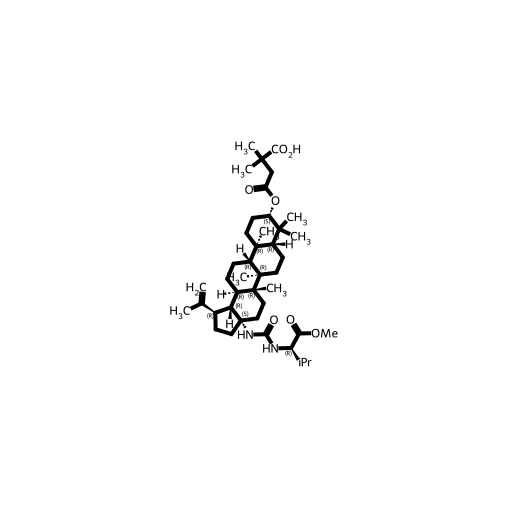 C=C(C)[C@@H]1CC[C@]2(NC(=O)N[C@@H](C(=O)OC)C(C)C)CC[C@]3(C)[C@H](CC[C@@H]4[C@@]5(C)CC[C@H](OC(=O)CC(C)(C)C(=O)O)C(C)(C)[C@@H]5CC[C@]43C)[C@@H]12